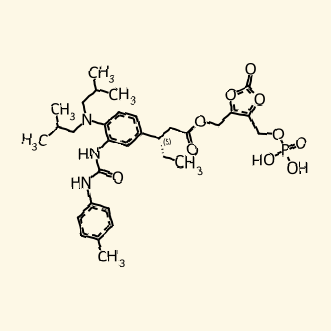 CC[C@@H](CC(=O)OCc1oc(=O)oc1COP(=O)(O)O)c1ccc(N(CC(C)C)CC(C)C)c(NC(=O)Nc2ccc(C)cc2)c1